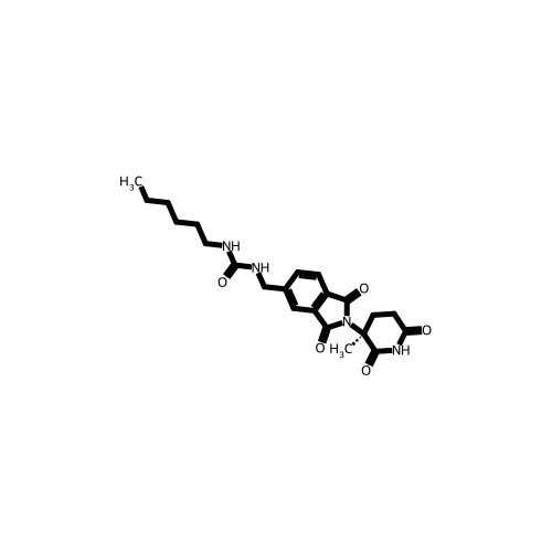 CCCCCCNC(=O)NCc1ccc2c(c1)C(=O)N([C@@]1(C)CCC(=O)NC1=O)C2=O